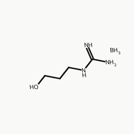 B.N=C(N)NCCCO